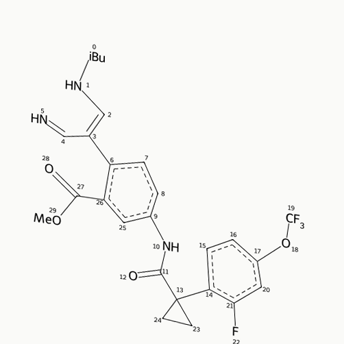 CCC(C)N/C=C(\C=N)c1ccc(NC(=O)C2(c3ccc(OC(F)(F)F)cc3F)CC2)cc1C(=O)OC